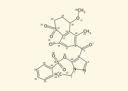 CCn1ncc(C(=O)c2cc(Cl)c3c(c2C)C(OC)CCS3(=O)=O)c1OS(=O)(=O)c1ccccc1